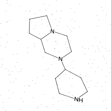 C1CC2CN(C3CCNCC3)CCN2C1